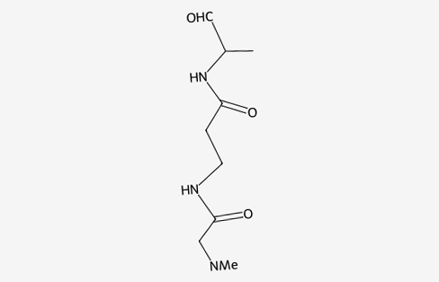 CNCC(=O)NCCC(=O)NC(C)C=O